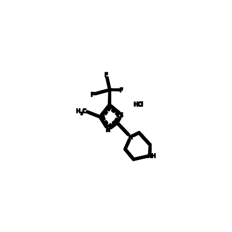 Cc1nc(N2CCNCC2)sc1C(F)(F)F.Cl